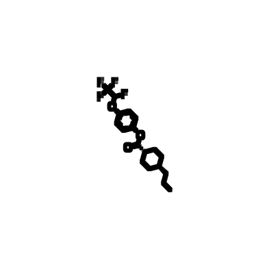 CCC[C@H]1CC[C@H](C(=O)Oc2ccc(OC(F)C(F)(F)F)cc2)CC1